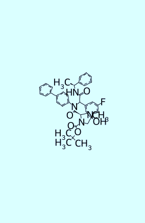 C[C@H](NC(=O)C(c1cncc(F)c1)N(C(=O)[C@H]1C[C@@](C)(O)CN1C(=O)OC(C)(C)C)c1ccc(-c2ccccc2)cc1)c1ccccc1